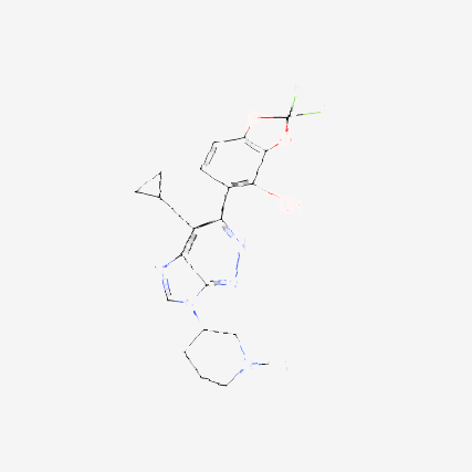 CN1CCC[C@@H](n2cnc3c(C4CC4)c(-c4ccc5c(c4O)OC(F)(F)O5)nnc32)C1